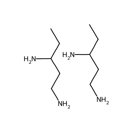 CCC(N)CCN.CCC(N)CCN